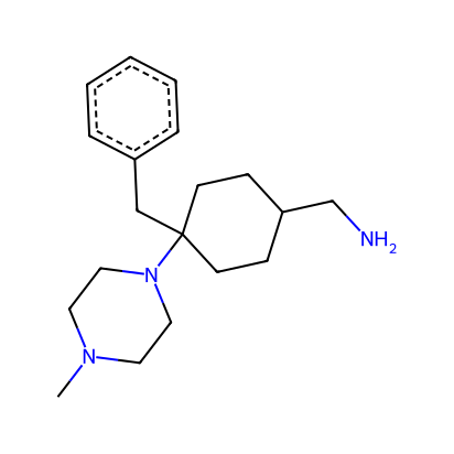 CN1CCN(C2(Cc3ccccc3)CCC(CN)CC2)CC1